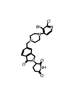 O=C1CCC(N2Cc3cc(CN4CCN(c5ccnc(Cl)c5Br)CC4)ccc3C2=O)C(=O)N1